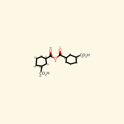 O=C(O)C1CCCC(C(=O)OC(=O)C2CCCC(C(=O)O)C2)C1